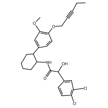 CCC#CCOc1ccc(C2CCCCC2NC(=O)C(O)c2ccc(Cl)c(Cl)c2)cc1OC